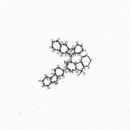 CC1(C)C2=C(C=CCC2)c2c(-n3c4ccccc4c4cc5ccccc5cc43)nc(-c3ccc4c(c3)sc3ccccc34)nc21